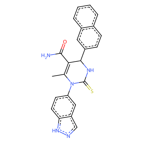 CC1=C(C(N)=O)C(c2ccc3ccccc3c2)NC(=S)N1c1ccc2[nH]ncc2c1